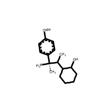 COc1ccc([C@](C)(N)C(C)C2CCCCC2O)cc1